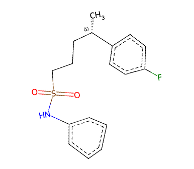 C[C@@H](CCCS(=O)(=O)Nc1ccccc1)c1ccc(F)cc1